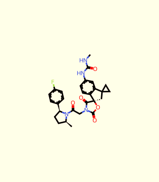 CNC(=O)Nc1ccc2c(c1)C1(CC1)C[C@@]21OC(=O)N(CC(=O)N2[C@@H](C)CC[C@H]2c2ccc(F)cc2)C1=O